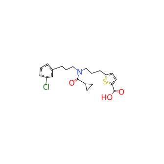 O=C(O)c1ccc(CCCN(CCCc2cccc(Cl)c2)C(=O)C2CC2)s1